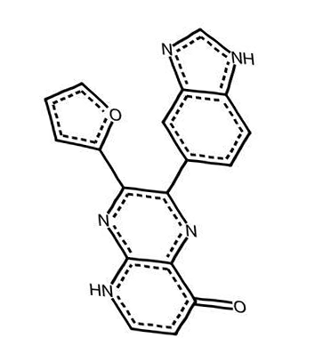 O=c1cc[nH]c2nc(-c3ccco3)c(-c3ccc4[nH]cnc4c3)nc12